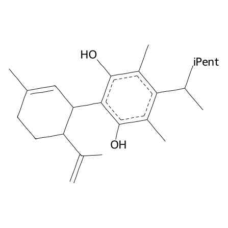 C=C(C)C1CCC(C)=CC1c1c(O)c(C)c(C(C)C(C)CCC)c(C)c1O